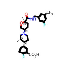 C[C@@H]1CN([C@@H]2CC[C@](C)(C(=O)NCc3cc(F)cc(C(F)(F)F)c3)OC2)CC[C@H]1c1ccc(F)c(C(=O)O)c1